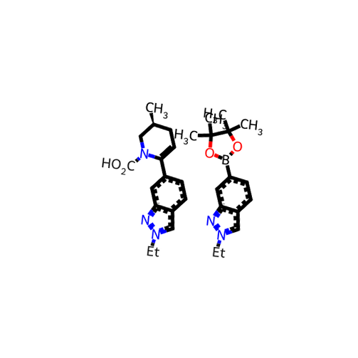 CCn1cc2ccc(B3OC(C)(C)C(C)(C)O3)cc2n1.CCn1cc2ccc(C3=CC[C@H](C)CN3C(=O)O)cc2n1